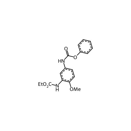 CCOC(=O)Nc1cc(NC(=O)Oc2ccccc2)ccc1OC